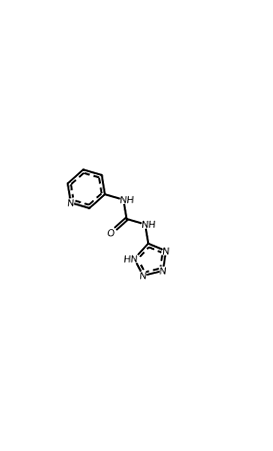 O=C(Nc1cccnc1)Nc1nnn[nH]1